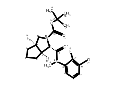 CN(C(=O)[C@@H]1[C@H]2CCC[C@H]2CN1C(=O)OC(C)(C)C)c1cccc(Cl)c1F